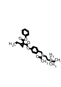 C=CC1CC1(C(=O)Oc1ccccc1)C(=O)Oc1ccc(CN(CC[N+](C)(C)CC)C(C)=O)cc1